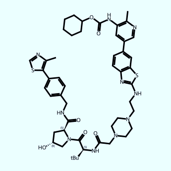 Cc1ncc(-c2ccc3nc(NCCN4CCN(CC(=O)N[C@H](C(=O)N5C[C@H](O)C[C@H]5C(=O)NCc5ccc(-c6scnc6C)cc5)C(C)(C)C)CC4)sc3c2)cc1NC(=O)OC1CCCCC1